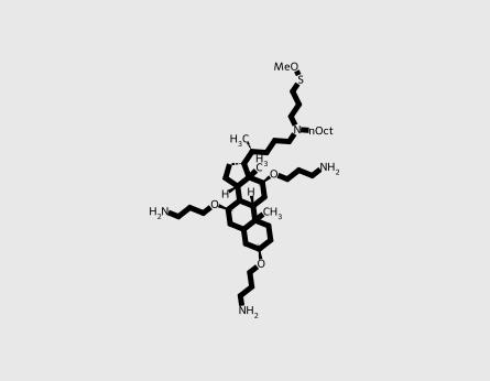 CCCCCCCCN(CCCSOC)CCC[C@@H](C)[C@H]1CC[C@H]2C3[C@H](OCCCN)CC4C[C@H](OCCCN)CCC4(C)[C@H]3C[C@H](OCCCN)C12C